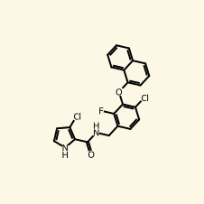 O=C(NCc1ccc(Cl)c(Oc2cccc3ccccc23)c1F)c1[nH]ccc1Cl